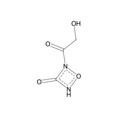 O=C(CO)n1o[nH]c1=O